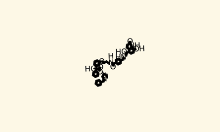 O=C(NCCCOc1cccc([C@](O)(C(=O)OC[C@H]2CCN(Cc3ccccc3)C2)c2ccccc2)c1)c1ccc(CNC[C@H](O)c2ccc(O)c3[nH]c(=O)ccc23)cc1